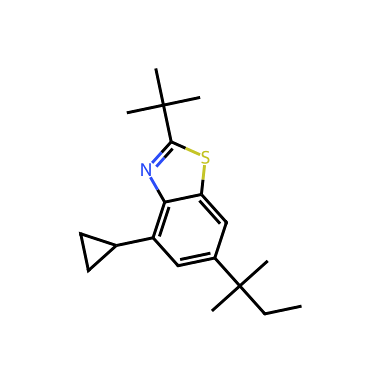 CCC(C)(C)c1cc(C2CC2)c2nc(C(C)(C)C)sc2c1